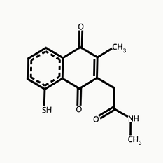 CNC(=O)CC1=C(C)C(=O)c2cccc(S)c2C1=O